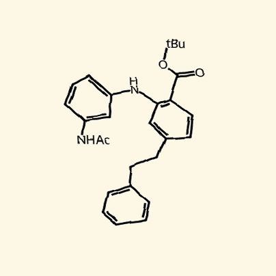 CC(=O)Nc1cccc(Nc2cc(CCc3ccccc3)ccc2C(=O)OC(C)(C)C)c1